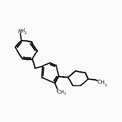 Cc1cc(Cc2ccc(N)cc2)ccc1C1CCC(C)CC1